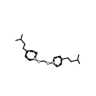 CC(C)CCc1cc[n+](OCO[n+]2ccc(CCC(C)C)cc2)cc1